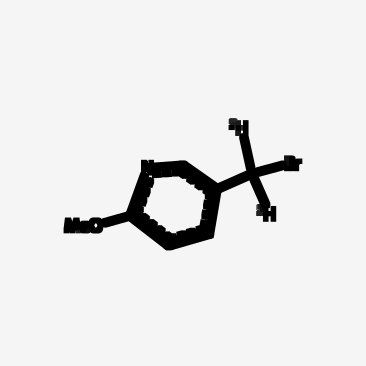 [2H]C([2H])(Br)c1ccc(OC)nc1